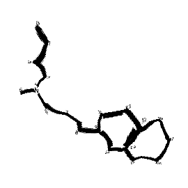 CCCCN(C)CCCc1ccc2c(c1)CCCC2